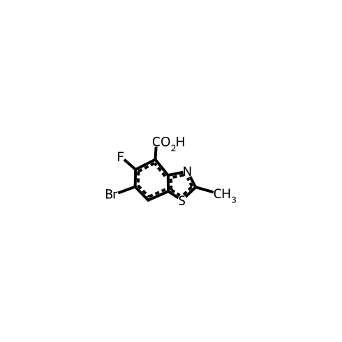 Cc1nc2c(C(=O)O)c(F)c(Br)cc2s1